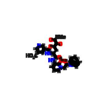 CNC(=O)C(=O)CC[C@H](NC(=O)c1cncc(C(=O)O)c1)C(=O)Nc1cccn(CC(=O)NC2C3CC4CC(C3)C2C4)c1=O